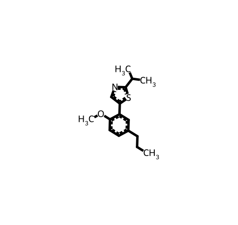 CCCc1ccc(OC)c(-c2cnc(C(C)C)s2)c1